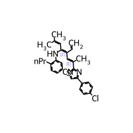 C=CC(/C=C(\C)c1nc(-c2ccc(Cl)cc2)cs1)=C(\C=C(C)C)Nc1cc(C#N)ccc1CCC